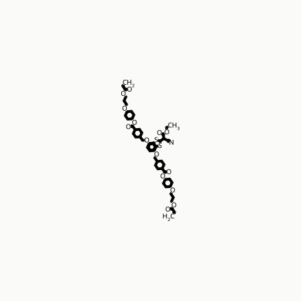 C=CC(=O)OCCCOC1CCC(OC(=O)C2CCC(COc3ccc(OCC4CCC(C(=O)OC5CCC(OCCCOC(=O)C=C)CC5)CC4)c4c3SC(C(C#N)C(=O)OCC)S4)CC2)CC1